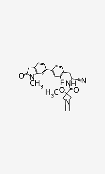 COC1(C(=O)NC(C#N)Cc2ccc(-c3ccc4c(c3)N(C)C(=O)C4)cc2F)CNC1